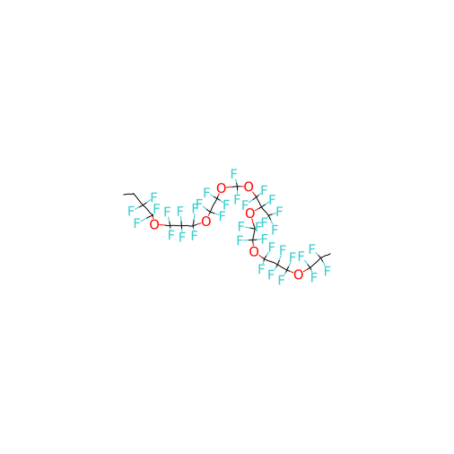 CCC(F)(F)C(F)(F)OC(F)(F)C(F)(F)C(F)(F)OC(F)(F)C(F)(F)OC(F)(F)OC(F)(F)C(F)(OC(F)(F)C(F)(F)OC(F)(F)C(F)(F)C(F)(F)OC(F)(F)C(C)(F)F)C(F)(F)F